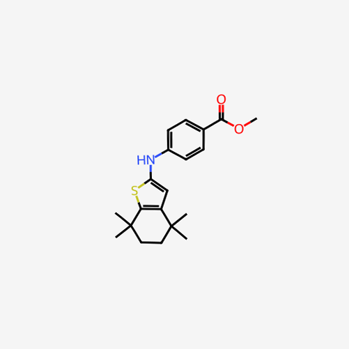 COC(=O)c1ccc(Nc2cc3c(s2)C(C)(C)CCC3(C)C)cc1